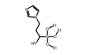 CCCC(CCn1ccnc1)[Si](OCC)(OCC)OCC